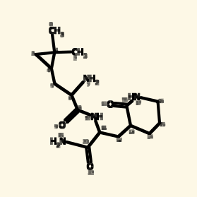 CC1(C)CC1CC(N)C(=O)NC(CC1CCCNC1=O)C(N)=O